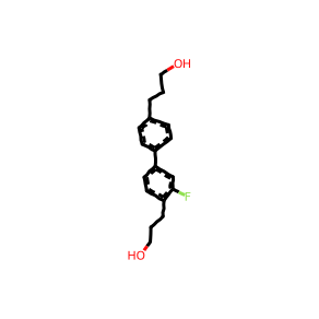 OCCCc1ccc(-c2ccc(CCCO)c(F)c2)cc1